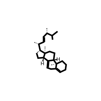 CC(C)[C@@H](C)C=C[C@@H](C)[C@H]1CC[C@H]2C3=CCC4=CCCC[C@]4(C)[C@H]3CC[C@]12C